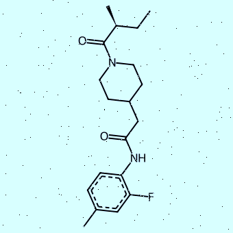 CC[C@H](C)C(=O)N1CCC(CC(=O)Nc2ccc(C)cc2F)CC1